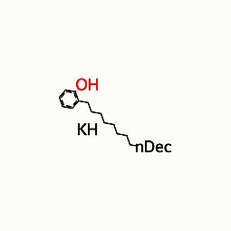 CCCCCCCCCCCCCCCCCCc1ccccc1O.[KH]